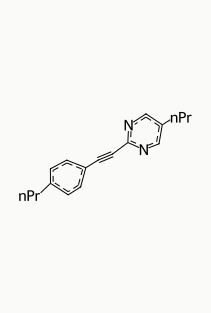 CCCc1ccc(C#Cc2ncc(CCC)cn2)cc1